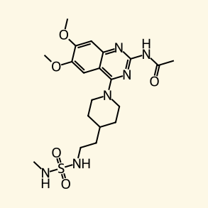 CNS(=O)(=O)NCCC1CCN(c2nc(NC(C)=O)nc3cc(OC)c(OC)cc23)CC1